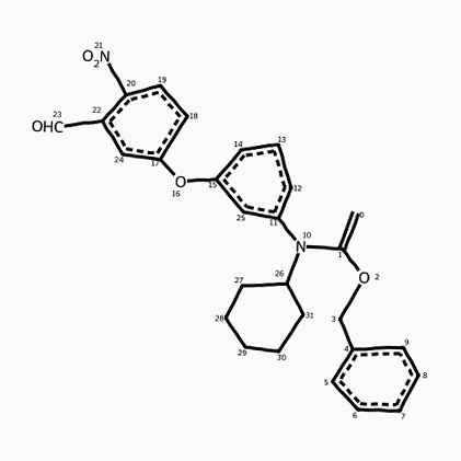 C=C(OCc1ccccc1)N(c1cccc(Oc2ccc([N+](=O)[O-])c(C=O)c2)c1)C1CCCCC1